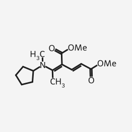 COC(=O)C=CC(C(=O)OC)=C(C)N(C)C1CCCC1